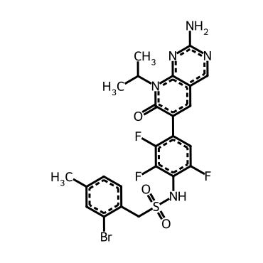 Cc1ccc(CS(=O)(=O)Nc2c(F)cc(-c3cc4cnc(N)nc4n(C(C)C)c3=O)c(F)c2F)c(Br)c1